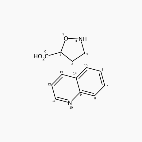 O=C(O)C1CCNO1.c1ccc2ncccc2c1